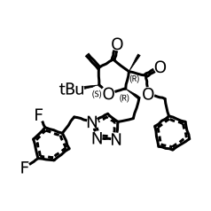 C=C1C(=O)[C@](C)(C(=O)OCc2ccccc2)[C@@H](CCc2cn(Cc3ccc(F)cc3F)nn2)O[C@H]1C(C)(C)C